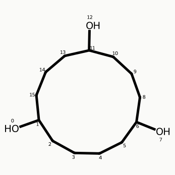 OC1CCCCC(O)CCCC(O)CCC1